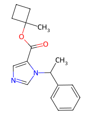 CC(c1ccccc1)n1cncc1C(=O)OC1(C)CCC1